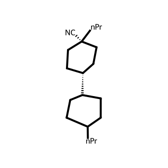 CCCC1CCC([C@H]2CC[C@](C#N)(CCC)CC2)CC1